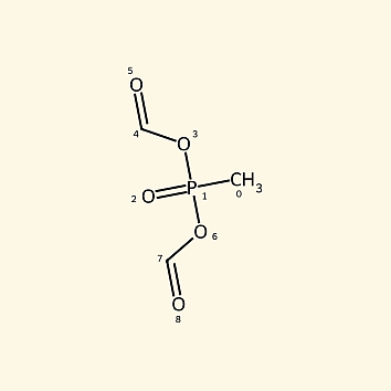 CP(=O)(OC=O)OC=O